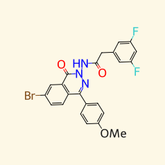 COc1ccc(-c2nn(NC(=O)Cc3cc(F)cc(F)c3)c(=O)c3cc(Br)ccc23)cc1